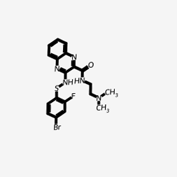 CN(C)CCNC(=O)c1nc2ccccc2nc1NSc1ccc(Br)cc1F